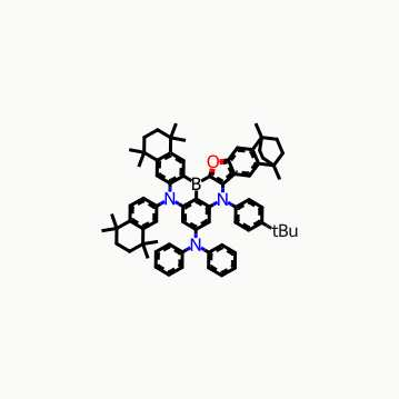 CC(C)(C)c1ccc(N2c3cc(N(c4ccccc4)c4ccccc4)cc4c3B(c3cc5c(cc3N4c3ccc4c(c3)C(C)(C)CCC4(C)C)C(C)(C)CCC5(C)C)c3oc4cc5c(cc4c32)C2(C)CCC5(C)CC2)cc1